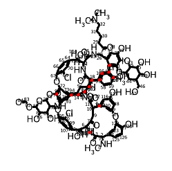 CN[C@H]1C(=O)N[C@H]2C(=O)C[C@H](C(=O)N[C@H]3C(=O)C[C@H]4C(=O)N[C@H](C(=O)N[C@H](C(=O)CCCCN(C)C)c5cc(O)cc(OC6CC(CO)C(O)C(O)C6O)c5-c5cc4ccc5O)[C@H](O)c4ccc(c(Cl)c4)Oc4cc3cc(c4OC3OC(OC=O)C(O)C(O)C3NC(=O)CCCCCCCCC(C)C)Oc3ccc(cc3Cl)[C@H]2O)c2cc(O)cc(c2)Oc2cc1ccc2O